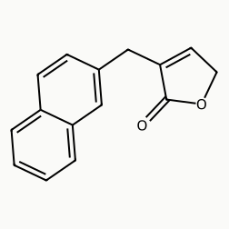 O=C1OCC=C1Cc1ccc2ccccc2c1